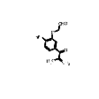 C=C(C)C(=O)c1ccc(CCC)c(OCC=O)c1